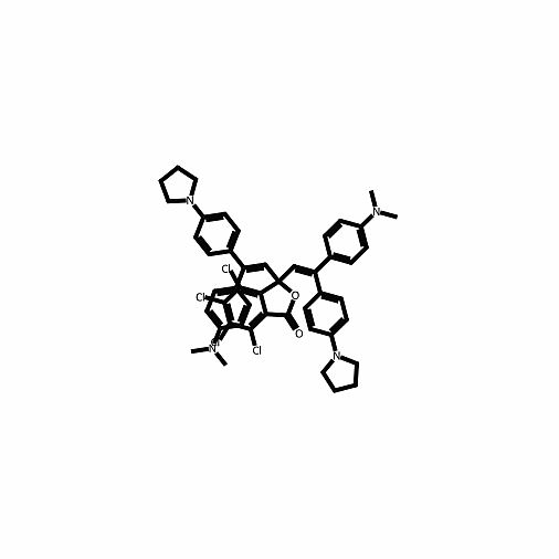 CN(C)c1ccc(C(=CC2(C=C(c3ccc(N(C)C)cc3)c3ccc(N4CCCC4)cc3)OC(=O)c3c(Cl)c(Cl)c(Cl)c(Cl)c32)c2ccc(N3CCCC3)cc2)cc1